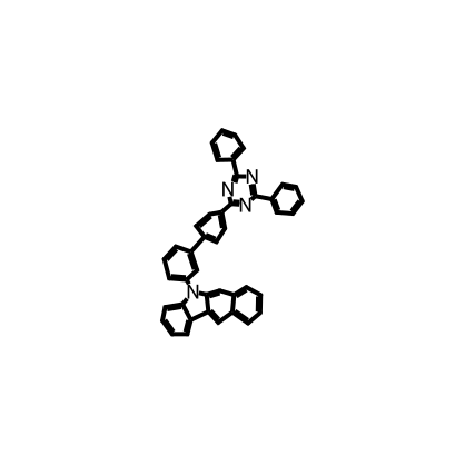 c1ccc(-c2nc(-c3ccccc3)nc(-c3ccc(-c4cccc(-n5c6ccccc6c6cc7ccccc7cc65)c4)cc3)n2)cc1